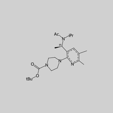 CC(=O)N(C(C)C)[C@H](C)c1cc(C)c(C)nc1N1CCN(C(=O)OC(C)(C)C)CC1